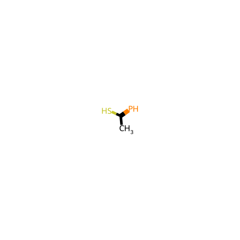 CC(=P)S